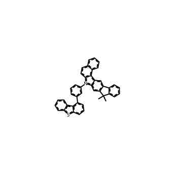 CC1(C)c2ccccc2-c2cc3c4c5ccccc5ccc4n(-c4cccc(-c5cccc6sc7ccccc7c56)c4)c3cc21